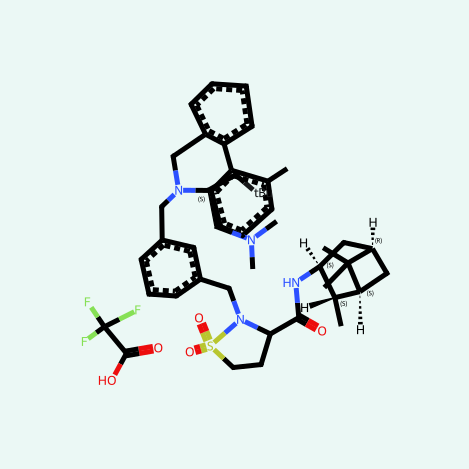 Cc1ccccc1-c1ccccc1CN(Cc1cccc(CN2C(C(=O)N[C@H]3C[C@H]4C[C@@H]([C@@H]3C)C4(C)C)CCS2(=O)=O)c1)[C@H](CN(C)C)CC(C)(C)C.O=C(O)C(F)(F)F